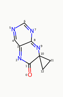 O=C1N=c2cncnc2=NC12CC2